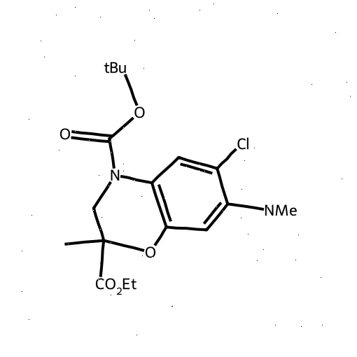 CCOC(=O)C1(C)CN(C(=O)OC(C)(C)C)c2cc(Cl)c(NC)cc2O1